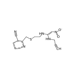 C#CCNC(=C[N+](=O)[O-])NCCSCc1ncccc1C#N